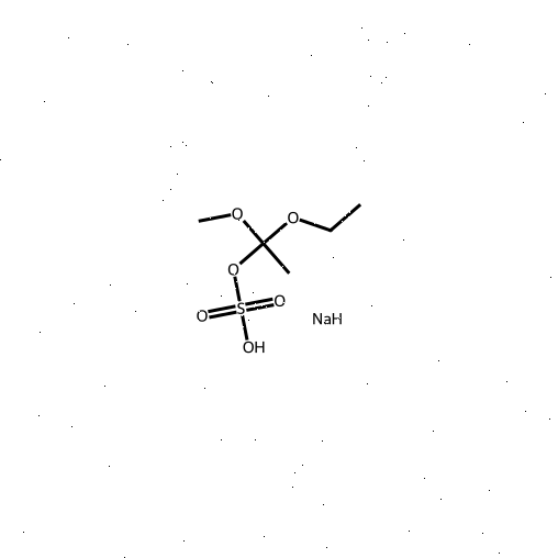 CCOC(C)(OC)OS(=O)(=O)O.[NaH]